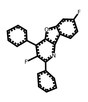 Fc1ccc2c(c1)oc1c(-c3ccccc3)c(F)c(-c3ccccc3)nc12